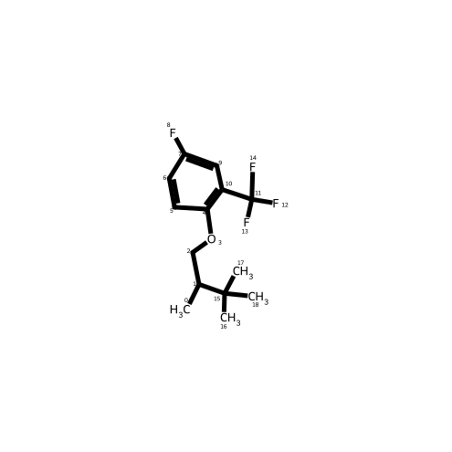 CC(COc1ccc(F)cc1C(F)(F)F)C(C)(C)C